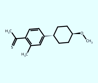 CO[C@H]1CC[C@H](c2ccc(C(C)=S)c(C)c2)CC1